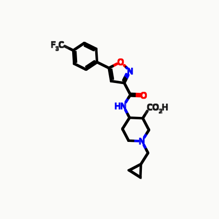 O=C(NC1CCN(CC2CC2)CC1C(=O)O)c1cc(-c2ccc(C(F)(F)F)cc2)on1